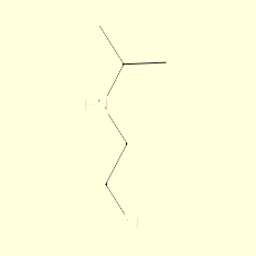 CC(I)NCCS